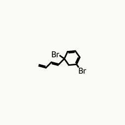 C=CC=CC1(Br)C=CC=C(Br)C1